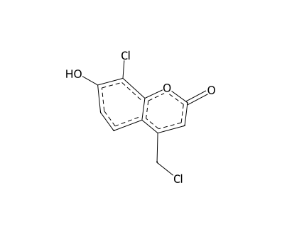 O=c1cc(CCl)c2ccc(O)c(Cl)c2o1